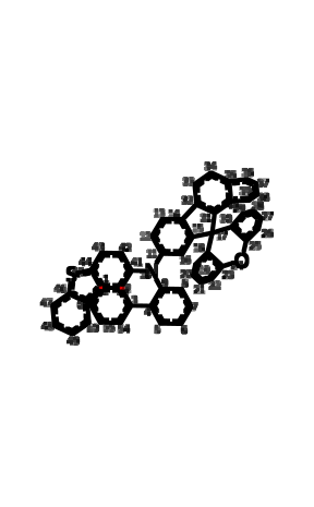 c1ccc(-c2ccccc2N(c2ccc3c(c2)C2(c4ccccc4Oc4ccccc42)c2c-3ccc3ccccc23)c2ccc3sc4ccccc4c3c2)cc1